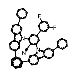 N#Cc1c(-n2c3cc(-c4ccccc4)ccc3c3ccc(-c4ccccc4)cc32)cc(-c2cc(F)cc(F)c2)cc1-n1c2cc(-c3ccccc3)ccc2c2ccc(-c3ccccc3)cc21